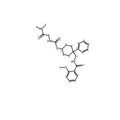 COc1ccccc1C(=O)NCC1(c2ccccc2)CCC(OC(=O)NCC(=O)N(C)C)CC1